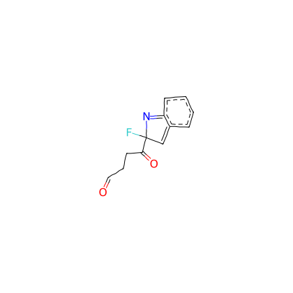 O=CCCC(=O)C1(F)C=c2ccccc2=N1